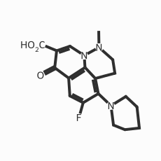 CN1CCc2c(N3CCCCC3)c(F)cc3c(=O)c(C(=O)O)cn1c23